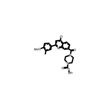 CCCOC(=O)N1CCN(C(=O)c2ccc3c(Cl)cc(-c4ccc(OC)c(C)c4)nc3c2)CC1